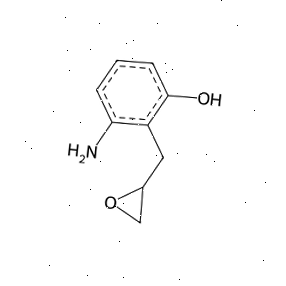 Nc1cccc(O)c1CC1CO1